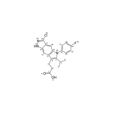 CC(C)c1c(CCC(=O)O)c2cc3[nH]nc(Cl)c3cc2n1-c1ccc(F)cc1